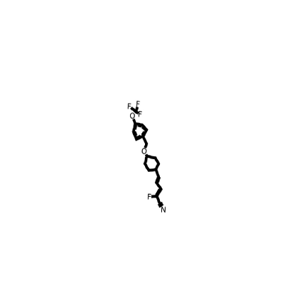 N#CC(F)=CC=CC1CCC(OCc2ccc(OC(F)(F)F)cc2)CC1